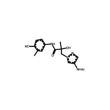 CC(=O)Nc1cnn(CC(C)(O)C(=O)Nc2ccc(C#N)c(C)c2)c1